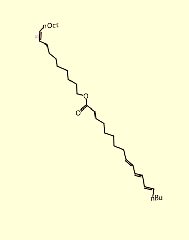 CCCCC=CC=CC=CCCCCCCCC(=O)OCCCCCCCC/C=C\CCCCCCCC